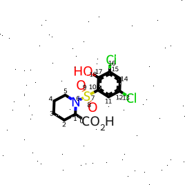 O=C(O)C1CCCCN1S(=O)(=O)c1cc(Cl)cc(Cl)c1O